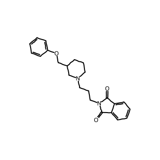 O=C1c2ccccc2C(=O)N1CCCN1CCCC(COc2ccccc2)C1